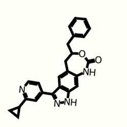 O=C1Nc2cc3[nH]nc(-c4ccnc(C5CC5)c4)c3cc2CC(Cc2ccccc2)O1